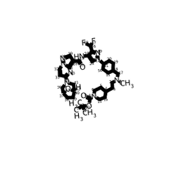 CN(CCC1CCN(C(=O)OC(C)(C)C)CC1)CC1CCC(n2cc(NC(=O)c3cnn4ccc(N5CC6CC[C@H](C5)O6)nc34)c(C(F)F)n2)CC1